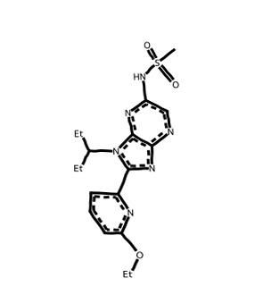 CCOc1cccc(-c2nc3ncc(NS(C)(=O)=O)nc3n2C(CC)CC)n1